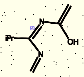 C=N/C(=N\C(=C)O)C(C)C